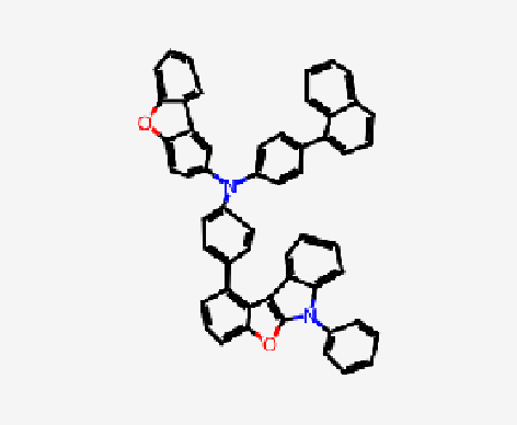 c1ccc(-n2c3ccccc3c3c4c(-c5ccc(N(c6ccc(-c7cccc8ccccc78)cc6)c6ccc7oc8ccccc8c7c6)cc5)cccc4oc32)cc1